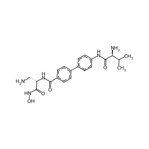 CC(C)[C@H](N)C(=O)Nc1ccc(-c2ccc(C(=O)N[C@@H](CN)C(=O)NO)cc2)cc1